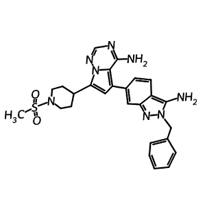 CS(=O)(=O)N1CCC(c2cc(-c3ccc4c(N)n(Cc5ccccc5)nc4c3)c3c(N)ncnn23)CC1